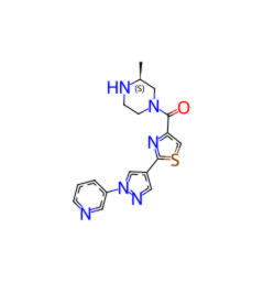 C[C@H]1CN(C(=O)c2csc(-c3cnn(-c4cccnc4)c3)n2)CCN1